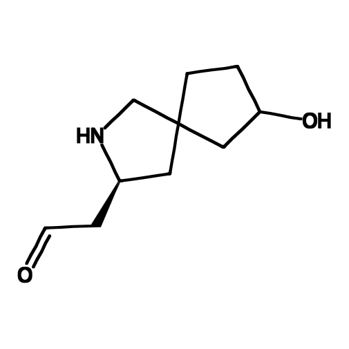 O=CC[C@@H]1CC2(CCC(O)C2)CN1